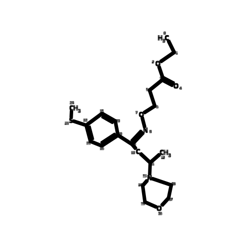 CCOC(=O)CCON=C(CC(C)N1CCOCC1)c1ccc(SC)cc1